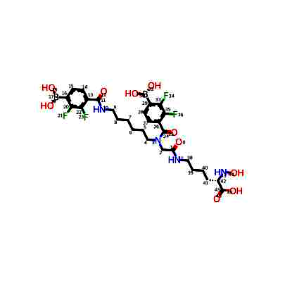 O=C(CN(CCCCCCNC(=O)c1ccc(B(O)O)c(F)c1F)C(=O)c1ccc(B(O)O)c(F)c1F)NCCCC[C@H](NO)C(=O)O